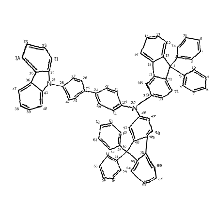 c1ccc(C2(c3ccccc3)c3ccccc3-c3cc(N(c4ccc(-c5ccc(-n6c7ccccc7c7ccccc76)cc5)cc4)c4ccc5c(c4)C(c4ccccc4)(c4ccccc4)c4ccccc4-5)ccc32)cc1